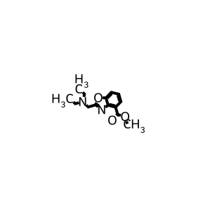 CCN(CC)Cc1nc2c(C(=O)OC)cccc2o1